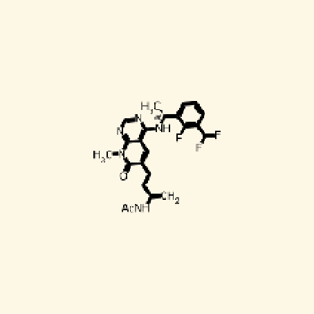 C=C(CCc1cc2c(N[C@H](C)c3cccc(C(F)F)c3F)ncnc2n(C)c1=O)NC(C)=O